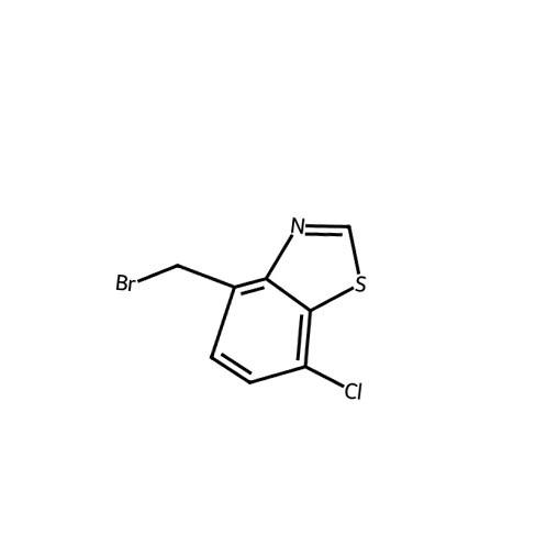 Clc1ccc(CBr)c2ncsc12